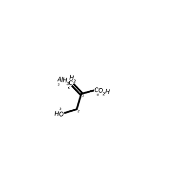 C=C(CO)C(=O)O.[AlH3]